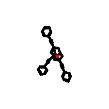 C(#CC12CC3CC(C#Cc4ccccc4)(C1)CC(C#Cc1ccccc1)(C3)C2)c1ccccc1